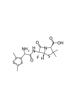 Cc1cc(C(N)C(=O)N[C@@]2(F)C(=O)N3[C@@H](C(=O)O)C(C)(C)S[C@@H]32)c(C)s1